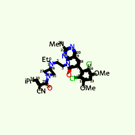 CCN(CCn1c(=O)c(-c2c(Cl)c(OC)cc(OC)c2Cl)cc2cnc(NC)nc21)C1CN(C(=O)C(C#N)=CC(C)C)C1